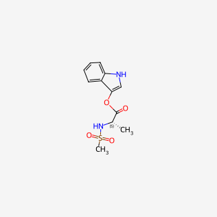 C[C@H](NS(C)(=O)=O)C(=O)Oc1c[nH]c2ccccc12